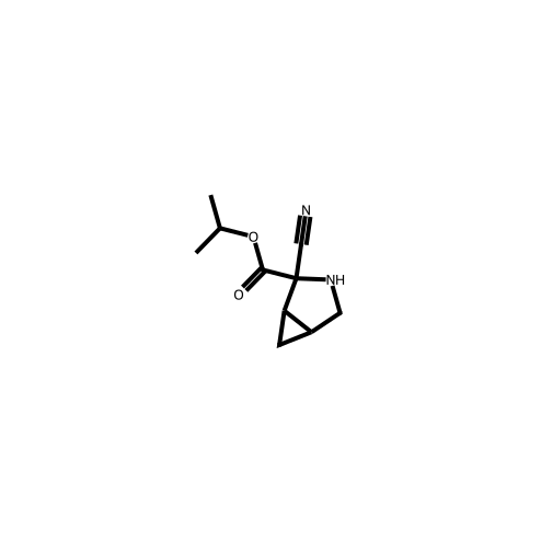 CC(C)OC(=O)C1(C#N)NCC2CC21